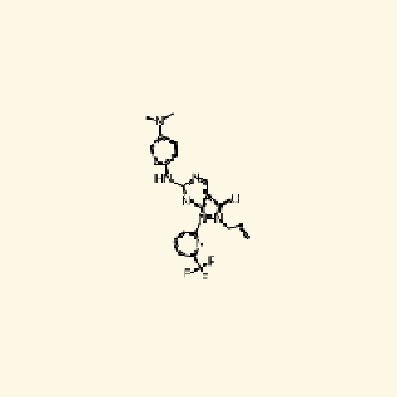 C=CCn1c(=O)c2cnc(Nc3ccc(N(C)C)cc3)nc2n1-c1cccc(C(F)(F)F)n1